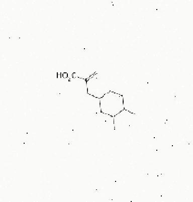 C=C(CC1CCC(C)C(C)C1)C(=O)O